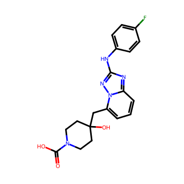 O=C(O)N1CCC(O)(Cc2cccc3nc(Nc4ccc(F)cc4)nn23)CC1